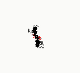 COc1ccc2c(c1)C(C)(C)c1cc(C3=c4cc5c(cc4OC3=O)=C(c3ccc4c(c3)C(C)(C)c3cc(OC)ccc3-4)C(=O)O5)ccc1-2